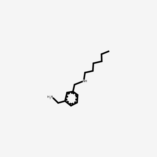 CCCCCCNCc1cccc(CN)c1